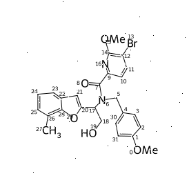 COc1ccc(CN(C(=O)c2ccc(Br)c(OC)n2)C(CO)c2cc3cccc(C)c3o2)cc1